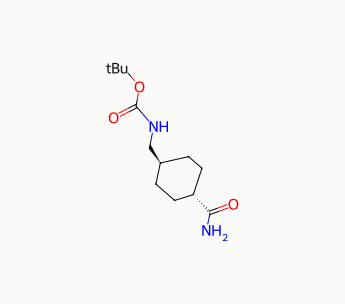 CC(C)(C)OC(=O)NC[C@H]1CC[C@H](C(N)=O)CC1